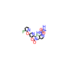 CNS(=O)(=O)Nc1nccc(CN2Cc3ncc(Oc4ncccc4F)cc3OC2=O)c1F